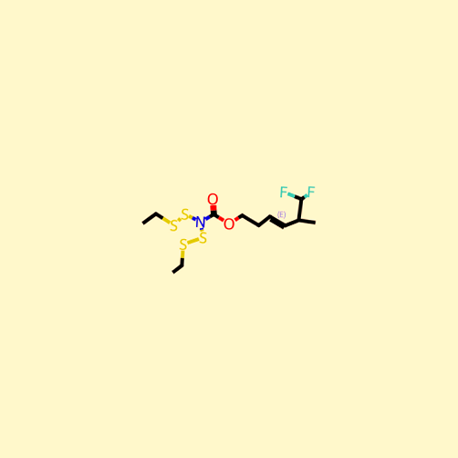 CCSSN(SSCC)C(=O)OCC/C=C/C(C)C(F)F